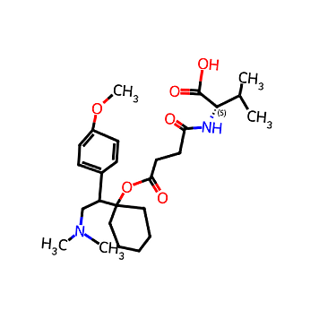 COc1ccc(C(CN(C)C)C2(OC(=O)CCC(=O)N[C@H](C(=O)O)C(C)C)CCCCC2)cc1